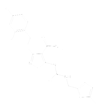 Cc1ccc(CNC(=O)Nc2snc(OCc3ccc(Br)cc3F)c2C(N)=O)o1